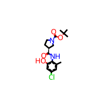 Cc1cc(Cl)cc(O)c1NC(=O)[C@H]1CCN(C(=O)OC(C)(C)C)C1